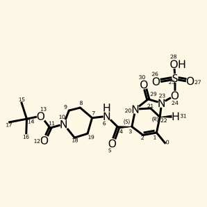 CC1=C[C@@H](C(=O)NC2CCN(C(=O)OC(C)(C)C)CC2)N2C[C@@H]1N(OS(=O)(=O)O)C2=O